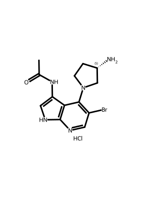 CC(=O)Nc1c[nH]c2ncc(Br)c(N3CC[C@H](N)C3)c12.Cl